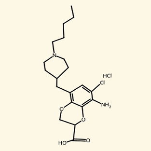 CCCCCN1CCC(Cc2cc(Cl)c(N)c3c2OCC(C(=O)O)O3)CC1.Cl